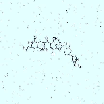 CSc1cc(C)[nH]c(=O)c1CNC(=O)c1cc(Cl)c2c(c1C)O[C@@](C)([C@H]1CC[C@H](c3cnn(C)c3)CC1)O2